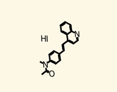 CC(=O)N(C)c1ccc(C=Cc2ccnc3ccccc23)cc1.I